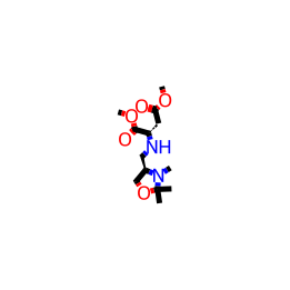 COC(=O)C[C@H](NC[C@@H]1COC(C)(C)N1C)C(=O)OC